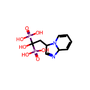 O=P(O)(O)C(O)(CC1C=NC2C=CC=CN12)P(=O)(O)O